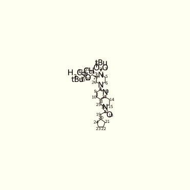 CC(C)(C)OC(=O)N1CCN(c2ccc3c(n2)CCN(C(=O)CC2CCCC2)C3)CC1CO[Si](C)(C)C(C)(C)C